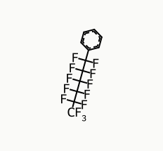 FC(F)(F)C(F)(F)C(F)(F)C(F)(F)C(F)(F)C(F)(F)c1ccccc1